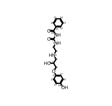 O=C(NCCNCC(O)COc1ccc(O)cc1)NC(=O)c1ccccc1